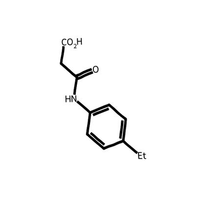 CCc1ccc(NC(=O)CC(=O)O)cc1